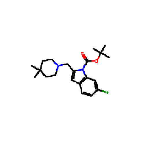 CC1(C)CCN(Cc2cc3ccc(Br)cc3n2C(=O)OC(C)(C)C)CC1